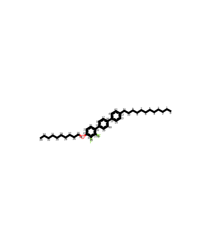 CCCCCCCCCCCCc1ccc(-c2ccc(-c3ccc(OCCCCCCCCCC)c(F)c3F)cc2)cc1